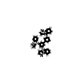 c1cc(-c2cc(-n3c4ccccc4n4nccc34)cc(-n3c4ccccc4n4nccc34)c2)cc(-n2c3ccccc3n3nccc23)c1